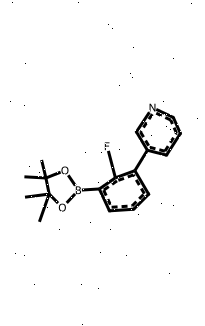 CC1(C)OB(c2cccc(-c3cccnc3)c2F)OC1(C)C